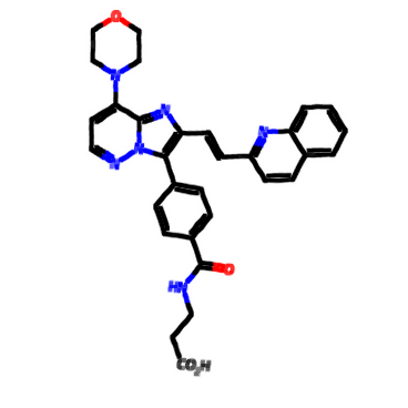 O=C(O)CCNC(=O)c1ccc(-c2c(C=Cc3ccc4ccccc4n3)nc3c(N4CCOCC4)ccnn23)cc1